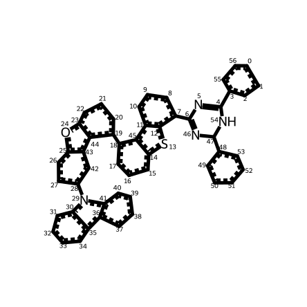 c1ccc(C2=NC(c3cccc4c3sc3cccc(-c5cccc6oc7ccc(-n8c9ccccc9c9ccccc98)cc7c56)c34)=NC(c3ccccc3)N2)cc1